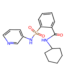 O=C(NC1CCCCC1)c1ccccc1S(=O)(=O)Nc1cccnc1